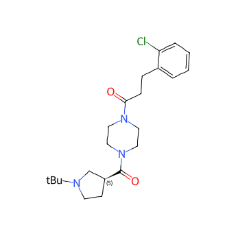 CC(C)(C)N1CC[C@H](C(=O)N2CCN(C(=O)CCc3ccccc3Cl)CC2)C1